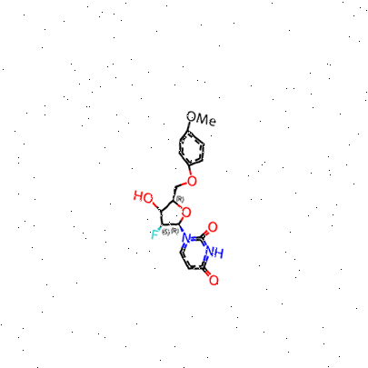 COc1ccc(OC[C@H]2O[C@@H](n3ccc(=O)[nH]c3=O)[C@@H](F)C2O)cc1